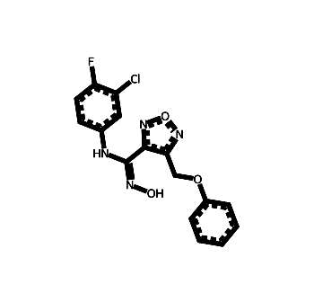 O/N=C(/Nc1ccc(F)c(Cl)c1)c1nonc1COc1ccccc1